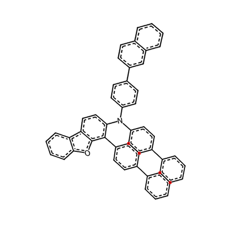 c1ccc(-c2ccc(-c3c(N(c4ccc(-c5ccccc5)cc4)c4ccc(-c5ccc6ccccc6c5)cc4)ccc4c3oc3ccccc34)cc2)cc1